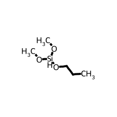 CCCO[SiH](OC)OC